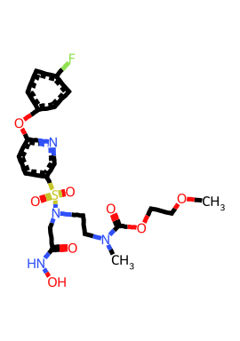 COCCOC(=O)N(C)CCN(CC(=O)NO)S(=O)(=O)c1ccc(Oc2ccc(F)cc2)nc1